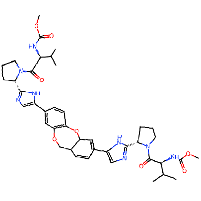 COC(=O)N[C@H](C(=O)N1CCC[C@H]1c1ncc(C2=CC3Oc4ccc(-c5cnc([C@@H]6CCCN6C(=O)[C@@H](NC(=O)OC)C(C)C)[nH]5)cc4OCC3C=C2)[nH]1)C(C)C